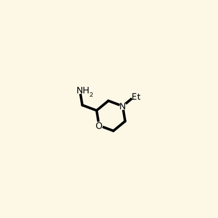 [CH2]CN1CCOC(CN)C1